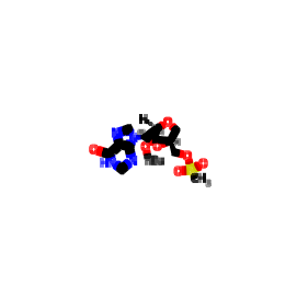 CCCCOC1[C@@H]2OC[C@]1(COS(C)(=O)=O)O[C@H]2n1cnc2c(=O)[nH]cnc21